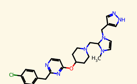 CN1C=CN(Cc2cn[nH]c2)C1CN1CCC(Oc2ccnc(Cc3ccc(Cl)cc3)n2)CC1